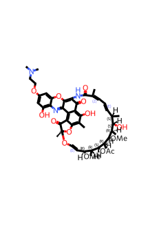 CO[C@H]1[C@@H](C)[C@H](OC(C)=O)[C@H](C)[C@@H](OC)/C=C/O[C@@]2(C)Oc3c(C)c(O)c4c(=O)c(c5oc6cc(OCCN(C)C)cc(O)c6nc-5c4c3C2=O)NC(=O)/C(C)=C\C=C\[C@H](C)[C@H](O)[C@H]1C